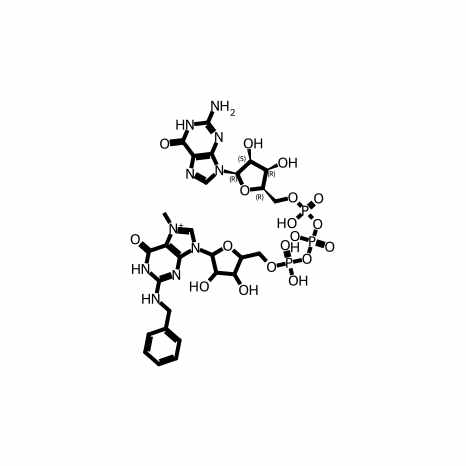 C[n+]1cn(C2OC(COP(=O)(O)OP(=O)(O)OP(=O)(O)OC[C@H]3O[C@@H](n4cnc5c(=O)[nH]c(N)nc54)[C@@H](O)[C@H]3O)C(O)C2O)c2nc(NCc3ccccc3)[nH]c(=O)c21